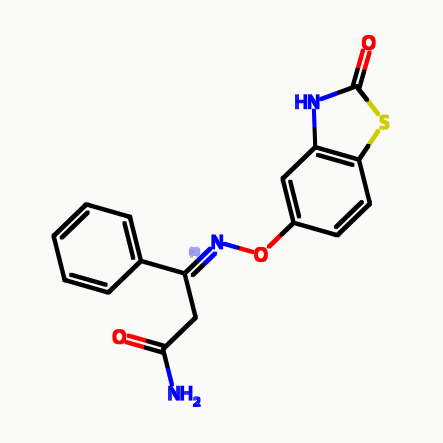 NC(=O)C/C(=N\Oc1ccc2sc(=O)[nH]c2c1)c1ccccc1